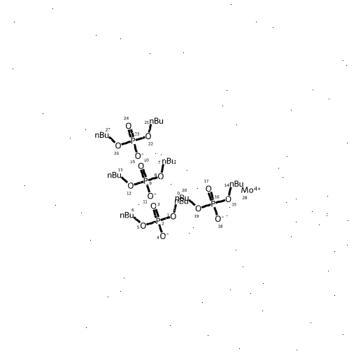 CCCCOP(=O)([O-])OCCCC.CCCCOP(=O)([O-])OCCCC.CCCCOP(=O)([O-])OCCCC.CCCCOP(=O)([O-])OCCCC.[Mo+4]